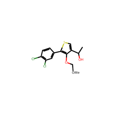 COCOc1c(C(C)O)csc1-c1ccc(Cl)c(Cl)c1